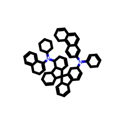 C1=CCCC(N(c2ccc3c4c(ccc3c2)C=CCC4)C2C=CC3=C(C2)C2(C4C=CC=CC34)C3C=CCCC3C3C(N(C4=CCCc5ccccc54)C4CCCCC4)CC=CC32)=C1